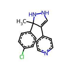 CC1(c2ccc(Cl)cc2)NNC=C1c1ccncc1